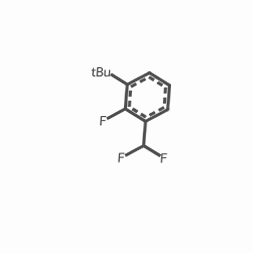 CC(C)(C)c1cccc(C(F)F)c1F